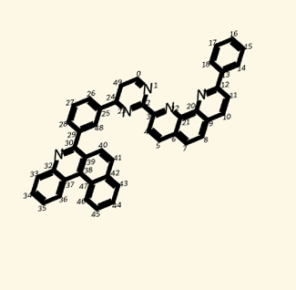 C1=NC(c2ccc3ccc4ccc(-c5ccccc5)nc4c3n2)=NC(c2cccc(-c3nc4ccccc4c4c3ccc3ccccc34)c2)C1